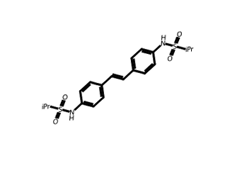 CC(C)S(=O)(=O)Nc1ccc(C=Cc2ccc(NS(=O)(=O)C(C)C)cc2)cc1